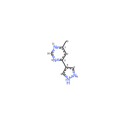 Cc1cc(-c2cn[nH]c2)ncn1